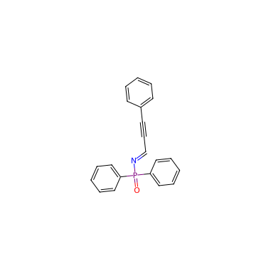 O=P(N=CC#Cc1ccccc1)(c1ccccc1)c1ccccc1